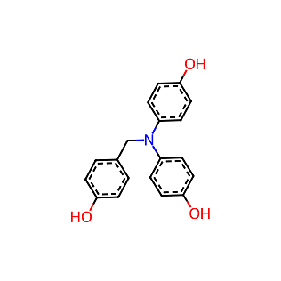 Oc1ccc(CN(c2ccc(O)cc2)c2ccc(O)cc2)cc1